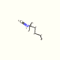 [C-]#[N+]C(C)(C)CCCC